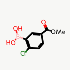 COC(=O)c1ccc(Cl)c(B(O)O)c1